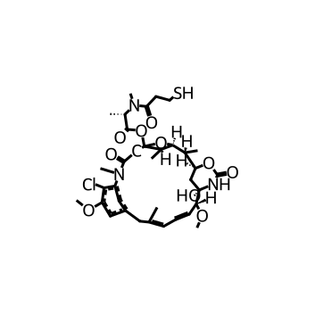 COc1cc2cc(c1Cl)N(C)C(=O)CC1(OC(=O)[C@H](C)N(C)C(=O)CCS)O[C@@H]([C@H](C)[C@@H]3C[C@@](O)(NC(=O)O3)[C@H](OC)/C=C/C=C(\C)C2)[C@@H]1C